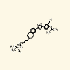 CC(C)Oc1ccc(-c2nc(-c3ccc4c(c3)CCN(CCCNC(=O)OC(C)(C)C)CC4)no2)cc1C#N